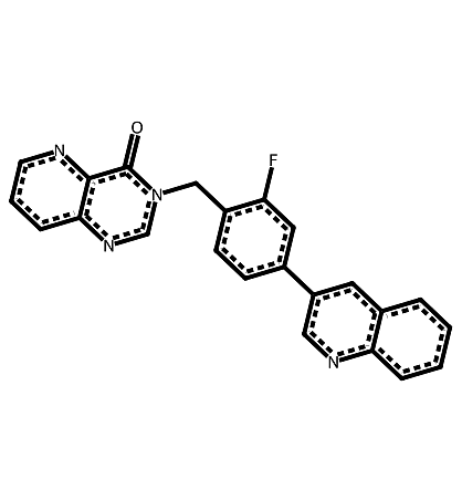 O=c1c2ncccc2ncn1Cc1ccc(-c2cnc3ccccc3c2)cc1F